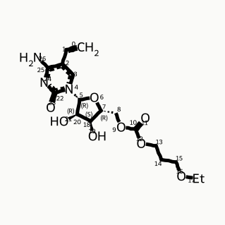 C=Cc1cn([C@@H]2O[C@H](COC(=O)OCCCOCC)[C@@H](O)[C@H]2O)c(=O)nc1N